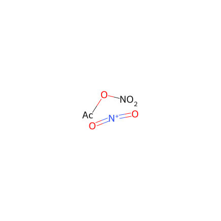 CC(=O)O[N+](=O)[O-].O=[N+]=O